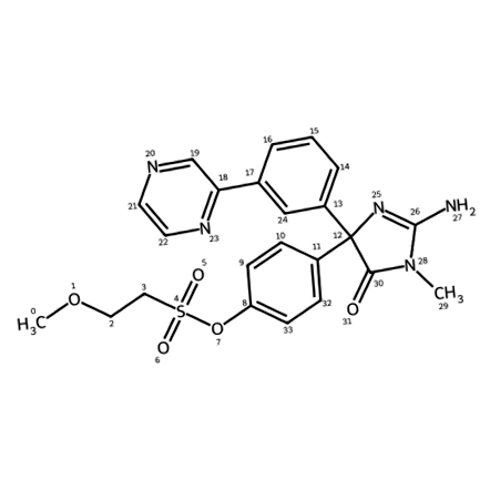 COCCS(=O)(=O)Oc1ccc(C2(c3cccc(-c4cnccn4)c3)N=C(N)N(C)C2=O)cc1